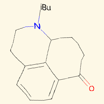 CCC(C)N1CCc2cccc3c2C1CCC3=O